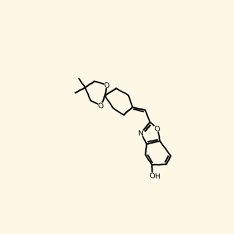 CC1(C)COC2(CCC(=Cc3nc4cc(O)ccc4o3)CC2)OC1